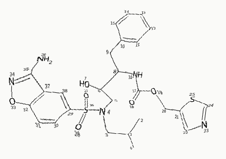 CC(C)CN(CC(O)C(Cc1ccccc1)NC(=O)OCc1cncs1)S(=O)(=O)c1ccc2onc(N)c2c1